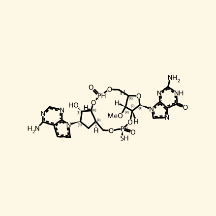 CO[C@H]1[C@H]2O[P@@](=O)(S)OC[C@H]3C[C@@H](n4ccc5c(N)ncnc54)[C@H](O)[C@@H]3O[PH](=O)OC[C@H]1O[C@H]2n1cnc2c(=O)[nH]c(N)nc21